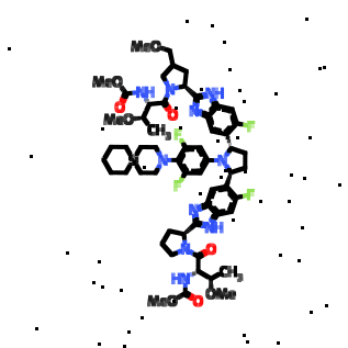 COCC1C[C@@H](c2nc3cc([C@@H]4CC[C@@H](c5cc6nc([C@@H]7CCCN7C(=O)[C@@H](NC(=O)OC)[C@@H](C)OC)[nH]c6cc5F)N4c4cc(F)c(N5CC[Si]6(CCCCC6)CC5)c(F)c4)c(F)cc3[nH]2)N(C(=O)[C@@H](NC(=O)OC)[C@@H](C)OC)C1